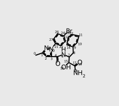 Cc1cc(C(=O)NC(Cc2ccccc2)C(O)C(N)=O)n(-c2ccc(Br)cc2)n1